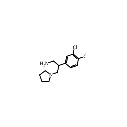 NCC(CN1CCCC1)c1ccc(Cl)c(Cl)c1